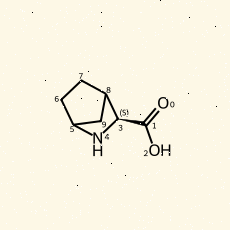 O=C(O)[C@H]1NC2CCC1C2